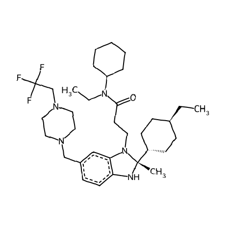 CCN(C(=O)CCN1c2cc(CN3CCN(CC(F)(F)F)CC3)ccc2N[C@@]1(C)[C@H]1CC[C@H](CC)CC1)C1CCCCC1